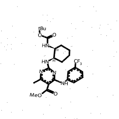 COC(=O)c1c(C)nc(N[C@@H]2CCCC[C@@H]2NC(=O)OC(C)(C)C)nc1Nc1cccc(C(F)(F)F)c1